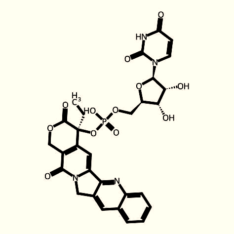 CC[C@@]1(OP(=O)(O)OC[C@H]2O[C@@H](n3ccc(=O)[nH]c3=O)[C@H](O)[C@@H]2O)C(=O)OCc2c1cc1n(c2=O)Cc2cc3ccccc3nc2-1